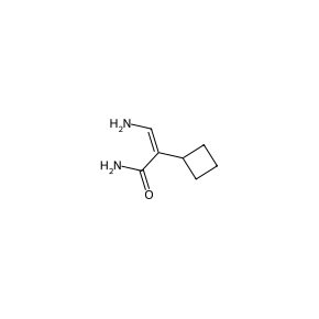 NC=C(C(N)=O)C1CCC1